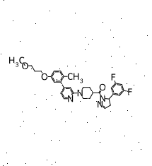 COCCCOc1ccc(C)c(-c2ccnc(N3CCC(C(=O)N4N=CCC4c4cc(F)cc(F)c4)CC3)c2)c1